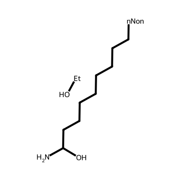 CCCCCCCCCCCCCCCCCC(N)O.CCO